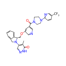 Cc1c(N2Cc3ccccc3[C@H]2COc2cncc(C(=O)N3CCN(c4ccc(C(F)(F)F)cn4)CC3)c2)cn[nH]c1=O